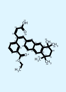 CCOC(=O)c1cccc(C(/C=C\C(=O)O)=C\c2ccc3cc4c(cc3c2)C(C)(C)CCC4(C)C)c1